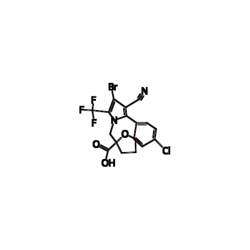 N#Cc1c(Br)c(C(F)(F)F)n(CC2(C(=O)O)CCCO2)c1-c1ccc(Cl)cc1